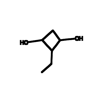 CCC1C(O)CC1O